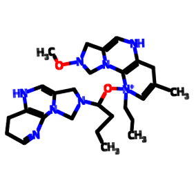 CCCC(O[N+]1(CCC)C=C(C)CC2=C1N1CN(OC)CC1=CN2)N1CC2=CNC3=C(N=CCC3)N2C1